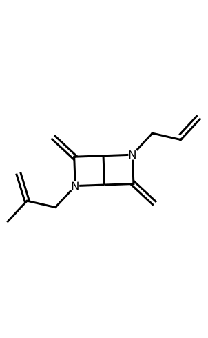 C=CCN1C(=C)C2C1C(=C)N2CC(=C)C